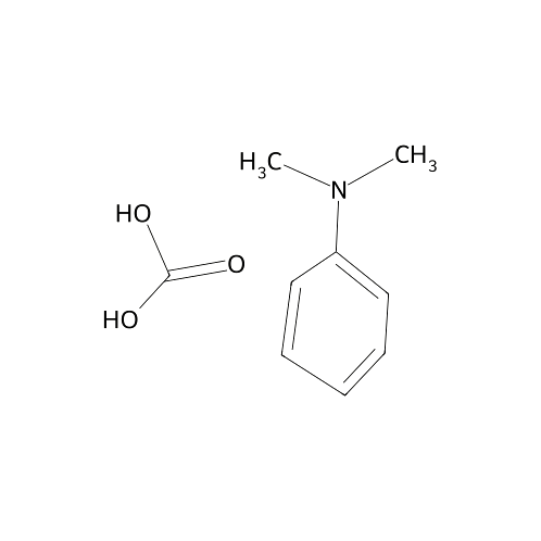 CN(C)c1ccccc1.O=C(O)O